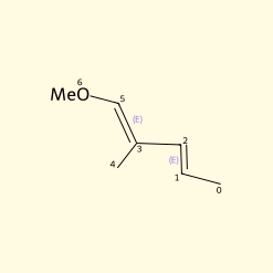 C/C=C/C(C)=C/OC